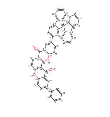 O=c1c2cc(-c3ccc4c(c3)C3(c5ccccc5-c5ccccc53)c3ccccc3-4)ccc2oc2c1ccc1oc3ccc(-c4ccccc4)cc3c(=O)c12